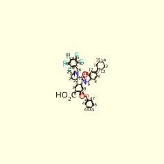 O=C(O)c1ccc(N(Cc2ccc(C3CCCCC3)cc2)C(=O)C2CCCN2Cc2c(F)c(F)c(F)c(F)c2F)cc1OCc1ccccc1